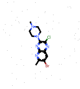 Cc1nc2nc(N3CCN(C)CC3)c(Cl)nc2cc1Br